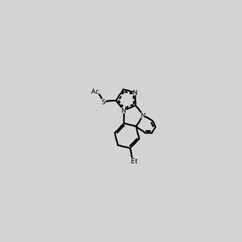 CCC1=CC23C=CC=CN2c2ncc(SC(C)=O)n2C3=CC1